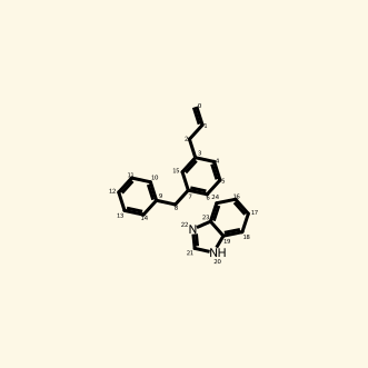 C=CCc1cccc(Cc2ccccc2)c1.c1ccc2[nH]cnc2c1